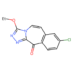 CCOc1nnc2c(=O)c3ccc(Cl)cc3ccn12